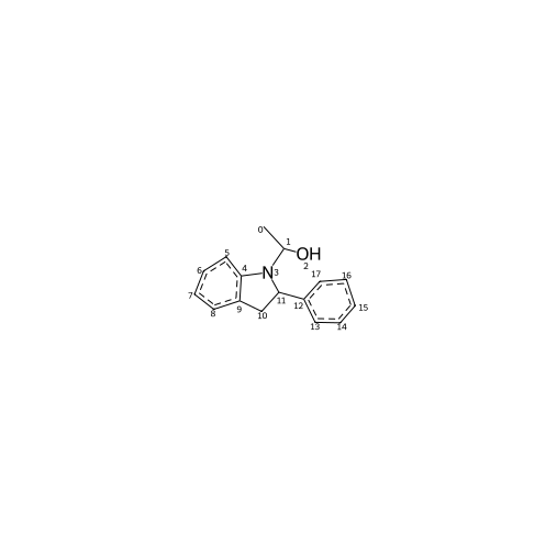 CC(O)N1c2ccccc2CC1c1ccccc1